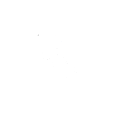 Cc1onc2c1ccc1cc3ccccc3cc12